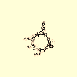 CNC(=O)C[C@@H]1NC(=O)c2csc(n2)-c2ccc(-c3nc(-n4ccnc4)cs3)nc2-c2csc(n2)-c2csc(n2)[C@H]([C@@H](O)c2ccccc2)NC(=O)CNC(=O)c2nc(sc2COC)NC(=O)c2nc1sc2C